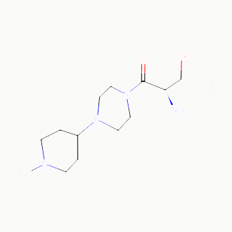 C[C@@H](O)[C@@H](N)C(=O)N1CCN(C2CCN(C)CC2)CC1.Cl